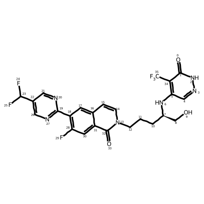 O=c1[nH]ncc(N[C@@H](CO)CCCn2ccc3cc(-c4ncc(C(F)F)cn4)c(F)cc3c2=O)c1C(F)(F)F